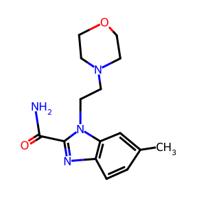 Cc1ccc2nc(C(N)=O)n(CCN3CCOCC3)c2c1